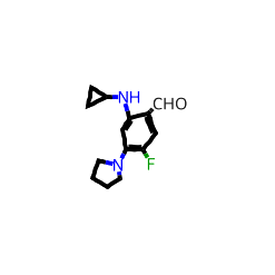 O=Cc1cc(F)c(N2CCCC2)cc1NC1CC1